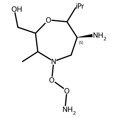 CC(C)C1OC(CO)C(C)N(OON)C[C@@H]1N